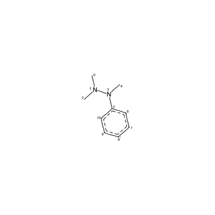 CN(C)N(C)c1cc[c]cc1